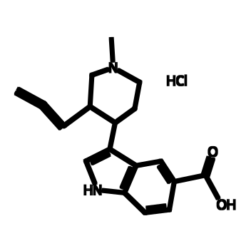 C=C=CC1CN(C)CCC1c1c[nH]c2ccc(C(=O)O)cc12.Cl